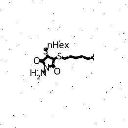 CCCCCCSC1C(=O)N(N)C(=O)C1SCCCCCI